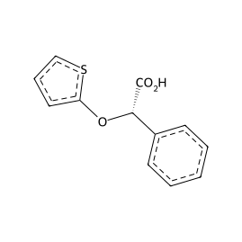 O=C(O)[C@@H](Oc1cccs1)c1ccccc1